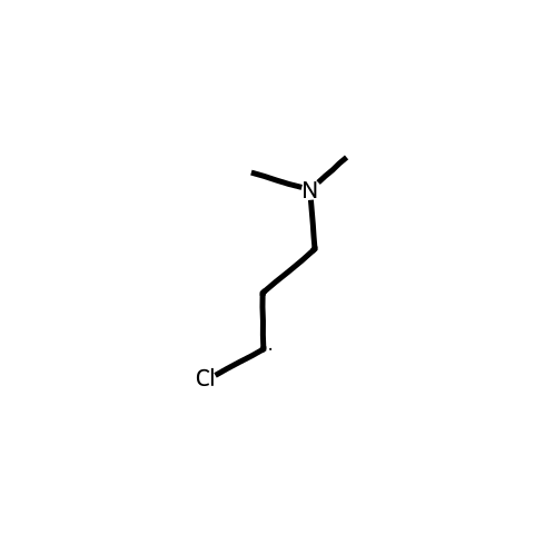 CN(C)CC[CH]Cl